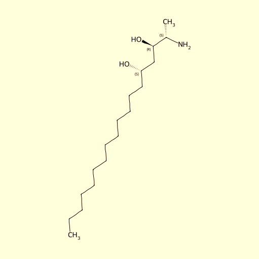 CCCCCCCCCCCCC[C@H](O)C[C@@H](O)[C@H](C)N